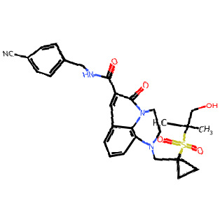 CC(C)(CO)S(=O)(=O)C1(CN2CCn3c(=O)c(C(=O)NCc4ccc(C#N)cc4)cc4cccc2c43)CC1